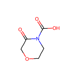 O=C(O)N1CCOCC1=O